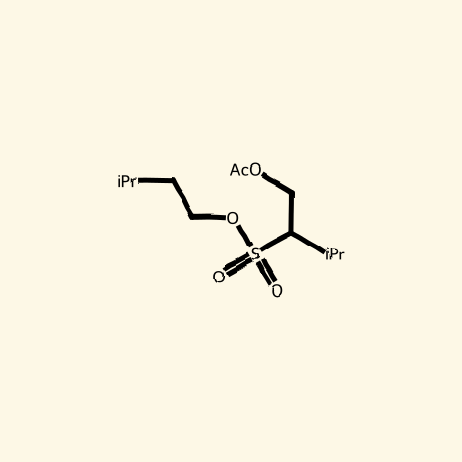 CC(=O)OCC(C(C)C)S(=O)(=O)OCCC(C)C